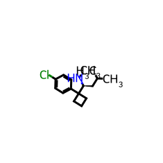 CN[C@@H](CC(C)C)C1(c2ccc(Cl)cc2)CCC1